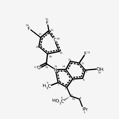 Cc1c([C@H](CC(C)C)C(=O)O)c2cc(O)c(F)cc2n1C(=O)c1ccc(F)c(F)c1